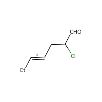 CC/C=C/CC(Cl)C=O